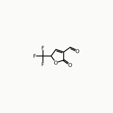 O=CC1=CC(C(F)(F)F)OC1=O